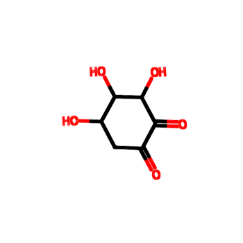 O=C1CC(O)C(O)C(O)C1=O